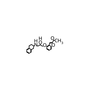 CC(=O)c1cc2c(OCC(O)CNC3CCc4ccccc4C3)cccc2o1